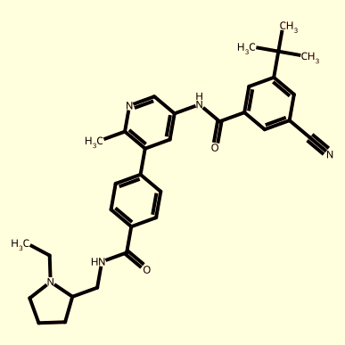 CCN1CCCC1CNC(=O)c1ccc(-c2cc(NC(=O)c3cc(C#N)cc(C(C)(C)C)c3)cnc2C)cc1